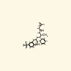 C[C@H](CC[C@@H]1Cc2cc(C(F)(F)F)ccc2N[C@H]1C1C=CC=CC1)CNCC1CC1